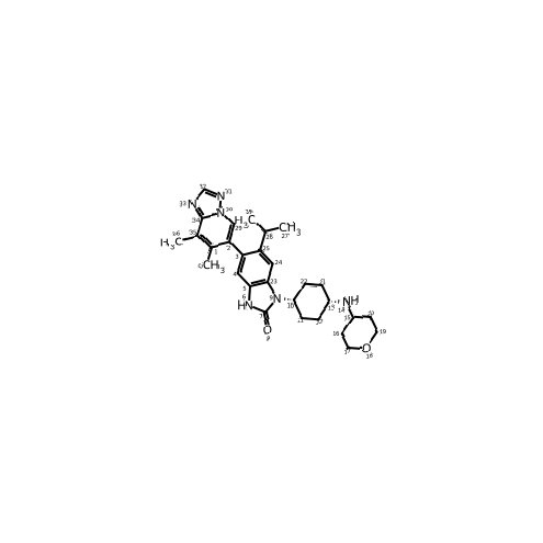 Cc1c(-c2cc3[nH]c(=O)n([C@H]4CC[C@@H](NC5CCOCC5)CC4)c3cc2C(C)C)cn2ncnc2c1C